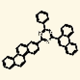 c1ccc(-c2nc(-c3ccc4c(ccc5c6ccccc6ccc45)c3)nc(-c3cc4ccccc4c4ccccc34)n2)cc1